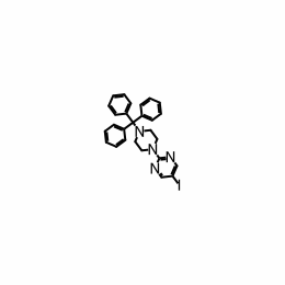 Ic1cnc(N2CCN(C(c3ccccc3)(c3ccccc3)c3ccccc3)CC2)nc1